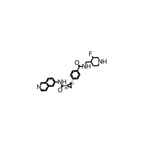 O=C(NCC1CCNCC1F)c1ccc([C@@H]2C[C@H]2C(=O)Nc2ccc3cnccc3c2)cc1